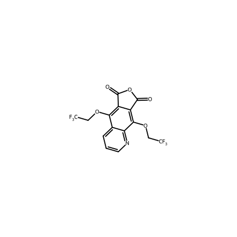 O=C1OC(=O)c2c1c(OCC(F)(F)F)c1cccnc1c2OCC(F)(F)F